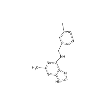 Cc1nc(NCc2cccc(I)c2)c2nc[nH]c2n1